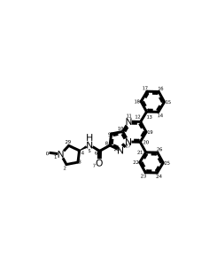 CN1CC[C@H](NC(=O)c2cc3nc(-c4ccccc4)cc(-c4ccccc4)n3n2)C1